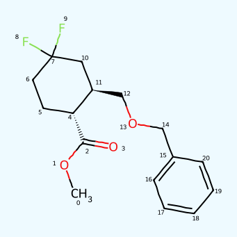 COC(=O)[C@@H]1CCC(F)(F)C[C@H]1COCc1ccccc1